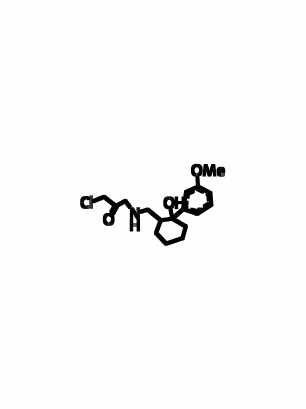 COc1cccc(C2(O)CCCCC2CNCC(=O)CCl)c1